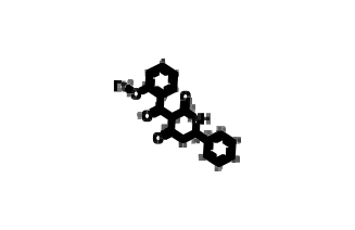 CCOc1ccccc1C(=O)C1C(=O)CC(c2ccccc2)NC1=O